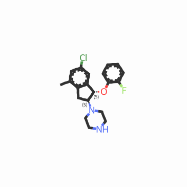 Cc1cc(Cl)cc2c1C[C@H](N1CCNCC1)[C@H]2Oc1ccccc1F